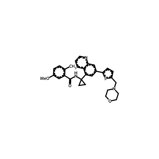 COc1ccc(C)c(C(=O)NC2(c3cc(-c4ccc(CN5CCOCC5)s4)cc4ncccc34)CC2)c1